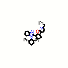 Cc1ccc2c(oc3nc(CC(C)C)ccc32)c1-c1nc2ccccc2n1-c1c(C(C)C)cccc1C(C)C